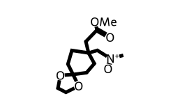 COC(=O)CC1(C[N+](C)=O)CCC2(CC1)OCCO2